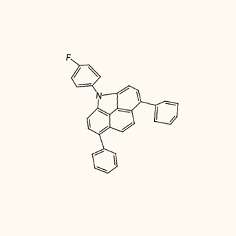 Fc1ccc(-n2c3ccc(-c4ccccc4)c4ccc5c(-c6ccccc6)ccc2c5c43)cc1